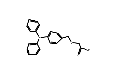 O=C(O)COCc1ccc(N(c2ccccc2)c2ccccc2)cc1